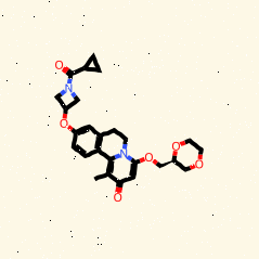 Cc1c2n(c(OC[C@@H]3COCCO3)cc1=O)CCc1cc(OC3CN(C(=O)C4CC4)C3)ccc1-2